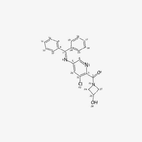 O=C(c1ncc(N=C(c2ccccc2)c2ccccc2)cc1Cl)N1CC(O)C1